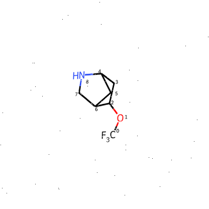 FC(F)(F)OC1CC2CC1CN2